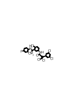 O=C(Nc1ccc(F)cc1C(F)(F)F)c1cc(NC(=O)C2C(c3cc(Cl)cc(Cl)c3)C2(Cl)Cl)ccc1Cl